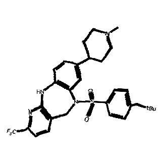 CN1CCC(c2ccc3c(c2)N(S(=O)(=O)c2ccc(C(C)(C)C)cc2)Cc2ccc(C(F)(F)F)nc2N3)CC1